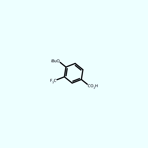 CC(C)COc1ccc(C(=O)O)cc1C(F)(F)F